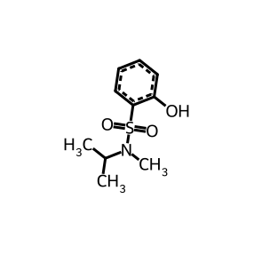 CC(C)N(C)S(=O)(=O)c1ccccc1O